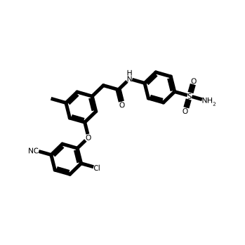 Cc1cc(CC(=O)Nc2ccc(S(N)(=O)=O)cc2)cc(Oc2cc(C#N)ccc2Cl)c1